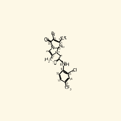 CCc1nc2n(CC(=O)Nc3ccc(C(F)(F)F)cc3Cl)c(C)cn2c(=O)c1Br